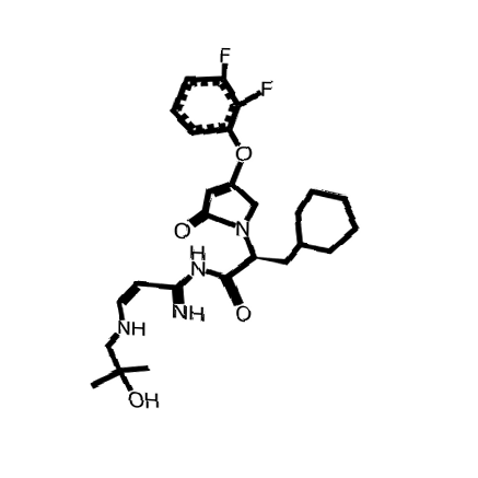 CC(C)(O)CN/C=C\C(=N)NC(=O)[C@H](CC1CCCCC1)N1CC(Oc2cccc(F)c2F)=CC1=O